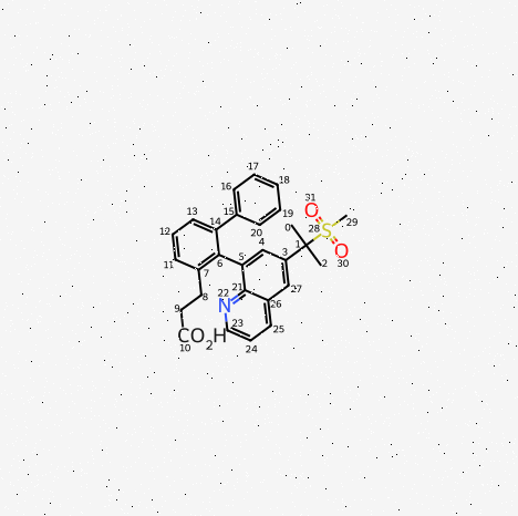 CC(C)(c1cc(-c2c(CCC(=O)O)cccc2-c2ccccc2)c2ncccc2c1)S(C)(=O)=O